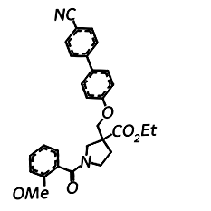 CCOC(=O)C1(COc2ccc(-c3ccc(C#N)cc3)cc2)CCN(C(=O)c2ccccc2OC)C1